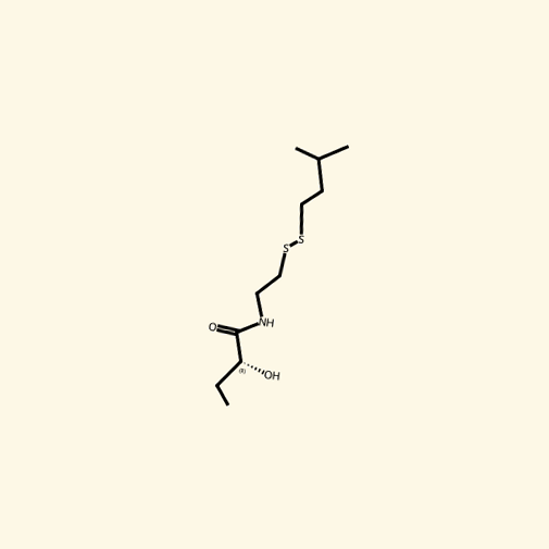 CC[C@@H](O)C(=O)NCCSSCCC(C)C